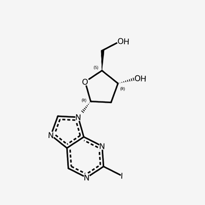 OC[C@@H]1O[C@@H](n2cnc3cnc(I)nc32)C[C@H]1O